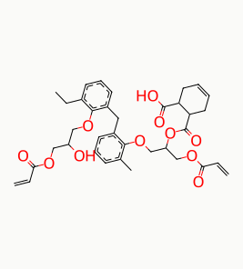 C=CC(=O)OCC(O)COc1c(CC)cccc1Cc1cccc(C)c1OCC(COC(=O)C=C)OC(=O)C1CC=CCC1C(=O)O